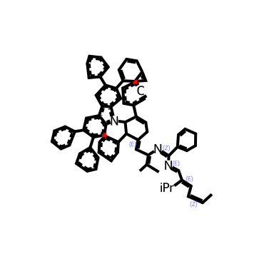 C\C=C/C=C(/C=N/C(=N\C(/C=C1\CC=C(c2ccccc2)C(n2c3cc(C4=CC=CC5=CC54)c(-c4ccccc4)cc3c3cc(-c4ccccc4)c(-c4ccccc4)cc32)C1c1ccccc1)=C(C)C)C1=CCCC=C1)C(C)C